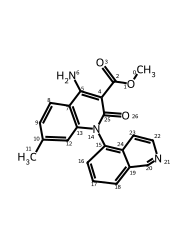 COC(=O)c1c(N)c2ccc(C)cc2n(-c2cccc3cnccc23)c1=O